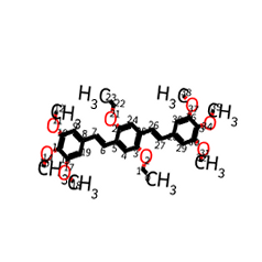 CCOc1cc(C=Cc2cc(OC)c(OC)c(OC)c2)c(OCC)cc1C=Cc1cc(OC)c(OC)c(OC)c1